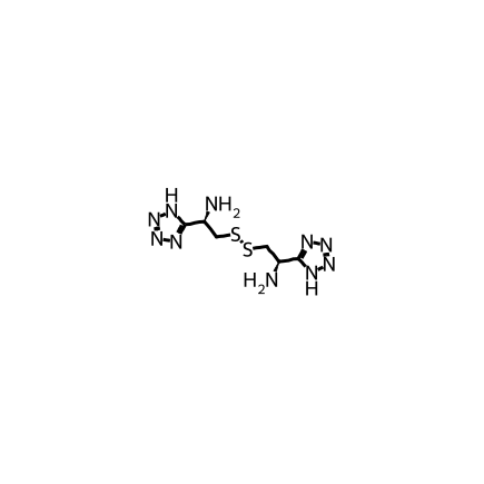 N[C@@H](CSSC[C@H](N)c1nnn[nH]1)c1nnn[nH]1